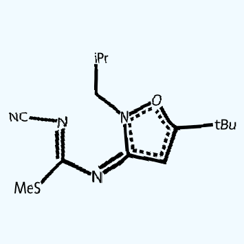 CSC(=NC#N)N=c1cc(C(C)(C)C)on1CC(C)C